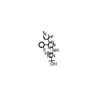 C=N/C=C\C(=C(/C)F)c1nnc(Nc2nc(C(C)(C)O)n[nH]2)nc1-c1ccccc1F